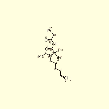 C=CCCCCN(CC(C)C)C(F)(C(=O)NC(=O)CC(C)C)C(C)C